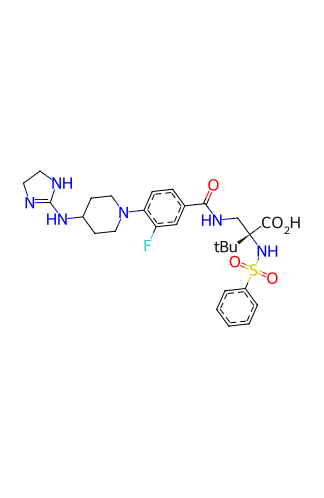 CC(C)(C)[C@](CNC(=O)c1ccc(N2CCC(NC3=NCCN3)CC2)c(F)c1)(NS(=O)(=O)c1ccccc1)C(=O)O